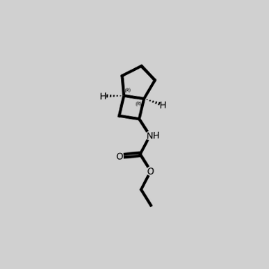 CCOC(=O)NC1C[C@H]2CCC[C@@H]12